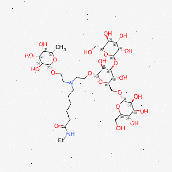 CCNC(=O)CCCCCN(CCO[C@H]1O[C@@H](C)[C@@H](O)[C@@H](O)[C@@H]1O)CCO[C@H]1O[C@H](CO[C@H]2O[C@H](CO)[C@@H](O)[C@H](O)[C@@H]2O)[C@@H](O)[C@H](O[C@H]2O[C@H](CO)[C@@H](O)[C@H](O)[C@@H]2O)[C@@H]1O